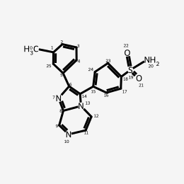 Cc1cccc(-c2nc3cnccn3c2-c2ccc(S(N)(=O)=O)cc2)c1